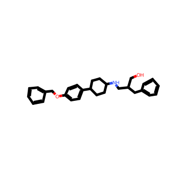 OCC(CNC1CCC(c2ccc(OCc3ccccc3)cc2)CC1)Cc1ccccc1